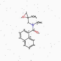 CCCCCCCCCCN(CC1(C)CO1)C(=O)c1cccc2ccccc12